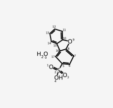 O.O=S(=O)(O)c1ccc2oc3ccccc3c2c1